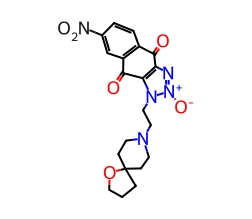 O=C1c2ccc([N+](=O)[O-])cc2C(=O)c2c1n[n+]([O-])n2CCN1CCC2(CCCO2)CC1